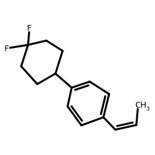 C/C=C\c1ccc(C2CCC(F)(F)CC2)cc1